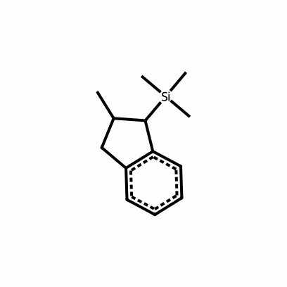 CC1Cc2ccccc2C1[Si](C)(C)C